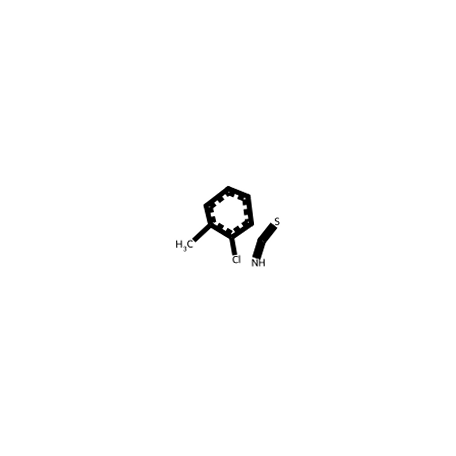 Cc1ccccc1Cl.N=C=S